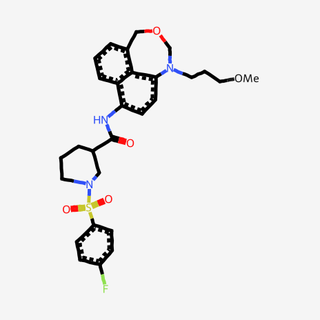 COCCCN1COCc2cccc3c(NC(=O)C4CCCN(S(=O)(=O)c5ccc(F)cc5)C4)ccc1c23